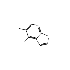 Brc1c(I)cnc2[nH]ccc12